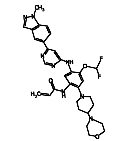 C=CC(=O)Nc1cc(Nc2cc(-c3ccc4c(cnn4C)c3)ncn2)c(OC(F)F)cc1N1CCC(N2CCOCC2)CC1